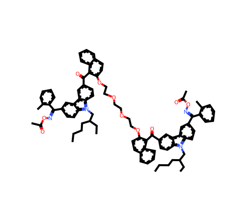 CCCCC(CC)Cn1c2ccc(C(=O)c3c(OCCOCCOCCOc4ccc5ccccc5c4C(=O)c4ccc5c(c4)c4cc(C(=NOC(C)=O)c6ccccc6C)ccc4n5CC(CC)CCCC)ccc4ccccc34)cc2c2cc(C(=NOC(C)=O)c3ccccc3C)ccc21